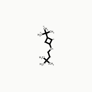 CC(C)(C)CCOC1CC(C(C)(C)C)C1